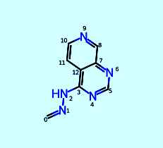 C=NNc1ncnc2cnccc12